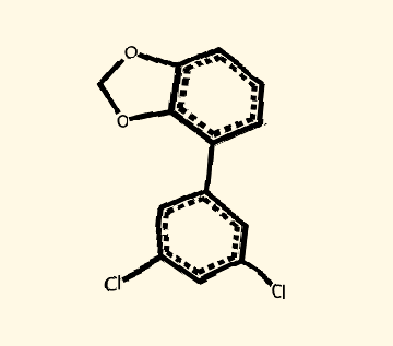 Clc1cc(Cl)cc(-c2[c]ccc3c2OCO3)c1